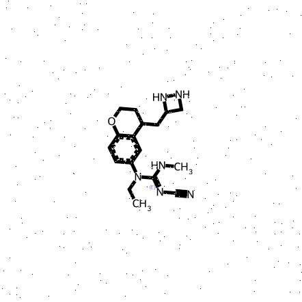 CCN(/C(=N/C#N)NC)c1ccc2c(c1)C(CC1CNN1)CCO2